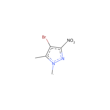 [CH2]n1nc([N+](=O)[O-])c(Br)c1C